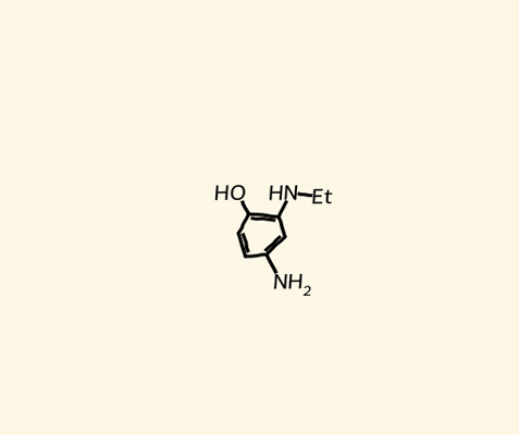 CCNc1cc(N)ccc1O